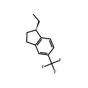 CC[C@@H]1CCc2cc(C(F)(F)F)ccc21